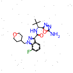 CC(C)(C)[C@H](NC(=O)c1nn(CC2CCOCC2)c2c(F)cccc12)c1nnc(N)o1